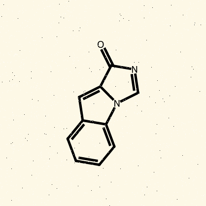 O=C1N=Cn2c1cc1ccccc12